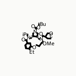 CCc1ccc(C(=O)N(C[C@@H]2CN(C(=O)OC(C)(C)C)C[C@H]2CN(C)C(=O)C2CCCOC2)C(C)C)cc1OCCCOC